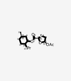 CC(=O)O[C@@H]1CS[C@H](C(=O)OC2C[C@H](C)CCC2C(C)C)O1